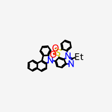 CCc1nc2ccc(-n3c4ccccc4c4c5ccccc5ccc43)c3c2n1-c1ccccc1S3(=O)=O